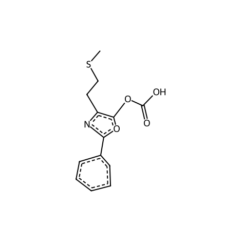 CSCCc1nc(-c2ccccc2)oc1OC(=O)O